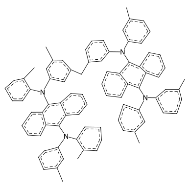 Cc1cccc(N(c2cccc(C)c2)c2c3ccccc3c(N(c3cccc(C)c3)c3cccc(Cc4cc(C)cc(N(c5ccccc5C)c5c6ccccc6c(N(c6cccc(C)c6)c6ccccc6C)c6ccccc56)c4)c3)c3ccccc23)c1